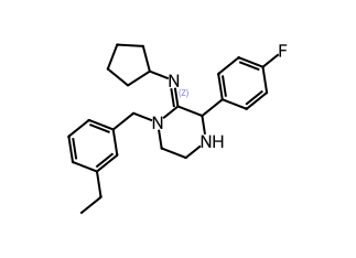 CCc1cccc(CN2CCNC(c3ccc(F)cc3)/C2=N/C2CCCC2)c1